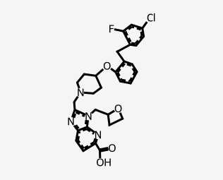 O=C(O)c1ccc2nc(CN3CCC(Oc4ccccc4Cc4ccc(Cl)cc4F)CC3)n(CC3CCO3)c2n1